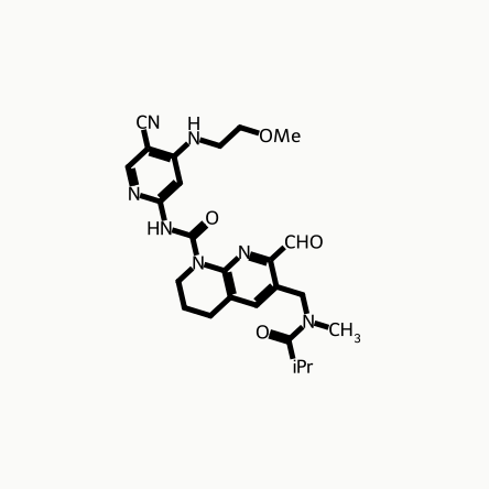 COCCNc1cc(NC(=O)N2CCCc3cc(CN(C)C(=O)C(C)C)c(C=O)nc32)ncc1C#N